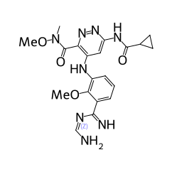 COc1c(Nc2cc(NC(=O)C3CC3)nnc2C(=O)N(C)OC)cccc1C(=N)/N=C\N